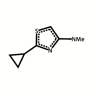 CNc1csc(C2CC2)n1